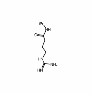 CC(C)NC(=O)CCCNC(=N)N